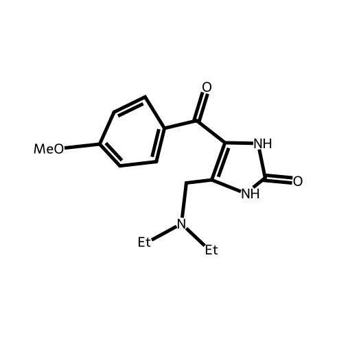 CCN(CC)Cc1[nH]c(=O)[nH]c1C(=O)c1ccc(OC)cc1